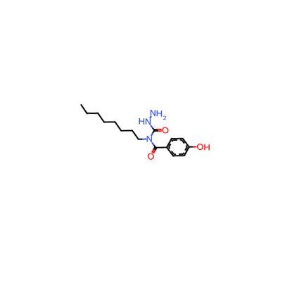 CCCCCCCCN(C(=O)NN)C(=O)c1ccc(O)cc1